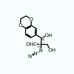 [N-]=[N+]=N[C@@](C=O)(CO)[C@H](O)c1ccc2c(c1)OCCO2